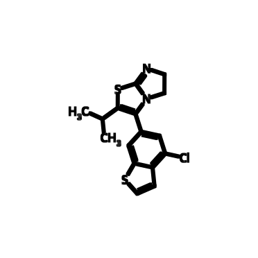 CC(C)C1=C(c2cc(Cl)c3ccsc3c2)N2CCN=C2S1